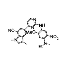 [CH2]CN(C)c1cc(OC)c(Nc2nccc(-c3cc(C#N)c4c(c3)c(C)cn4C)n2)cc1[N+](=O)[O-]